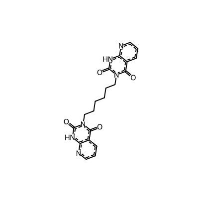 O=c1[nH]c2ncccc2c(=O)n1CCCCCCn1c(=O)[nH]c2ncccc2c1=O